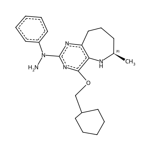 C[C@@H]1CCCc2nc(N(N)c3ccccc3)nc(OCC3CCCCC3)c2N1